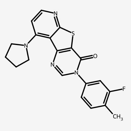 Cc1ccc(-n2cnc3c(sc4nccc(N5CCCC5)c43)c2=O)cc1F